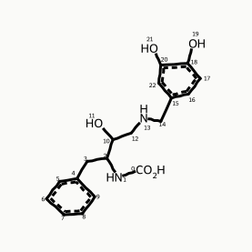 O=C(O)NC(Cc1ccccc1)C(O)CNCc1ccc(O)c(O)c1